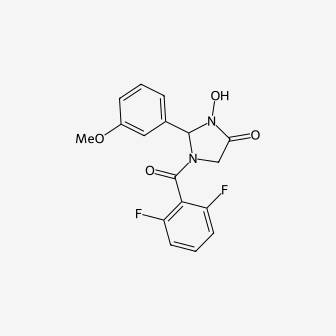 COc1cccc(C2N(O)C(=O)CN2C(=O)c2c(F)cccc2F)c1